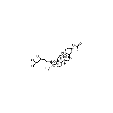 CC(CCC[C@@H](C)[C@H]1CC[C@H]2[C@@H]3CC=C4C[C@@H](OC(=O)Cl)CC[C@]4(C)[C@H]3CC[C@]12C)CC(Cl)Cl